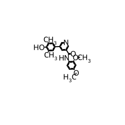 COc1ccc(NC(=O)c2cncc(-c3cc(C)c(O)c(C)c3)c2)c(OC)c1